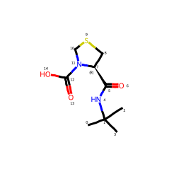 CC(C)(C)NC(=O)[C@@H]1CSCN1C(=O)O